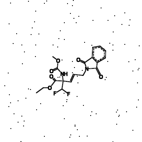 CCOC(=O)C(/C=C/CN1C(=O)c2ccccc2C1=O)(NC(=O)OC)C(F)F